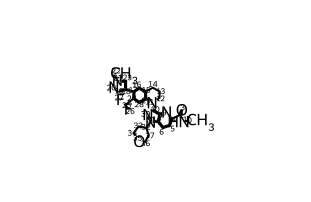 CNC(=O)c1ccc2c(n1)c(N1CCCc3cc(-c4cnn(C)c4)c(C(F)F)cc31)nn2C1CCOCC1